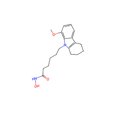 COc1cccc2c3c(n(CCCCCC(=O)NO)c12)CCCC3